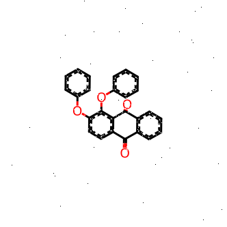 O=C1c2ccccc2C(=O)c2c1ccc(Oc1ccccc1)c2Oc1ccccc1